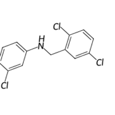 Clc1cccc(NCc2cc(Cl)ccc2Cl)c1